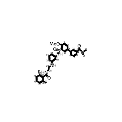 COc1ccc(-c2cccc(C(=O)N(C)C)c2)cc1[S+]([O-])Nc1cccc(NCCNC(=O)c2c(F)cccc2F)c1